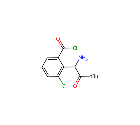 CC(C)(C)C(=O)C(N)c1c(Cl)cccc1C(=O)Cl